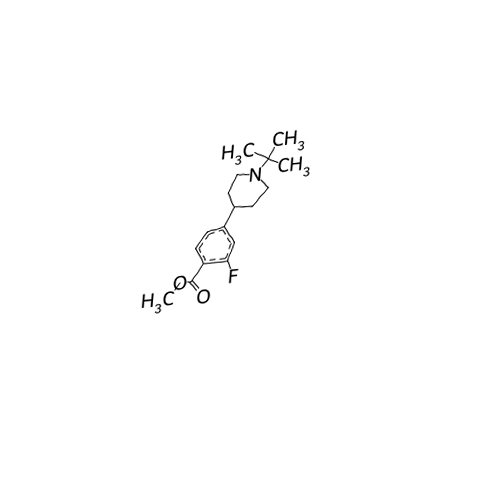 COC(=O)c1ccc(C2CCN(C(C)(C)C)CC2)cc1F